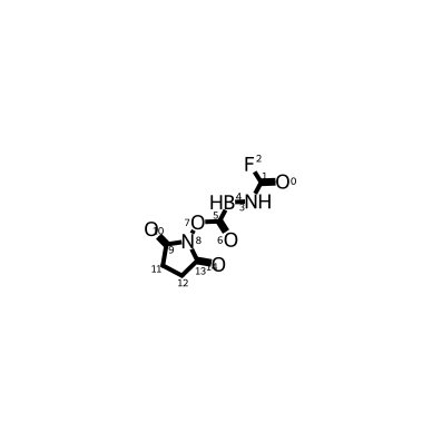 O=C(F)NBC(=O)ON1C(=O)CCC1=O